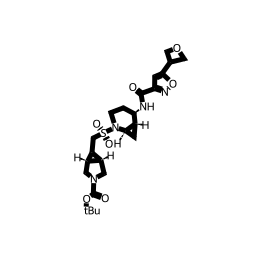 CC(C)(C)OC(=O)N1C[C@@H]2C(CS(=O)(=O)N3CC[C@H](NC(=O)c4cc(C5COC5)on4)[C@H]4C[C@H]43)[C@@H]2C1